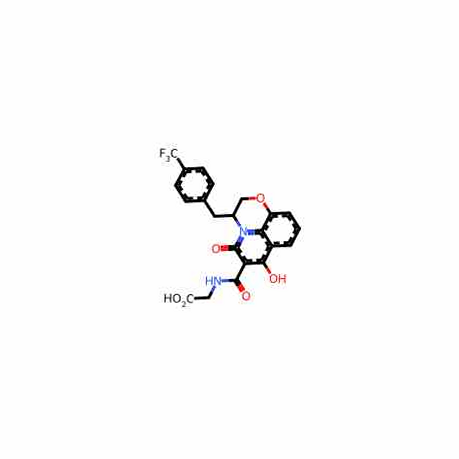 O=C(O)CNC(=O)c1c(O)c2cccc3c2n(c1=O)C(Cc1ccc(C(F)(F)F)cc1)CO3